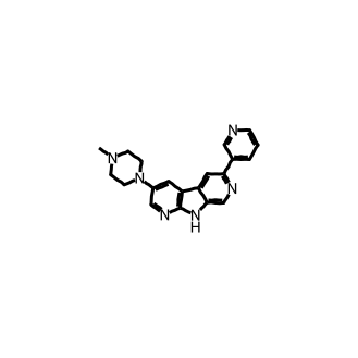 CN1CCN(c2cnc3[nH]c4cnc(-c5cccnc5)cc4c3c2)CC1